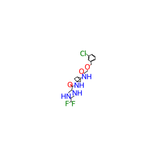 O=C(COCc1cccc(Cl)c1)NC1CC2(NC(=O)C3CNC(C(F)F)CN3)CC1C2